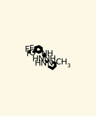 CC1CCCN(C(=N)NC(=N)Nc2cccc(OC(F)(F)F)c2)C1